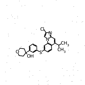 CC(C)c1cc2nc(Cl)cn2c2cc(Sc3cccc(C4(O)CCOCC4)c3)ccc12